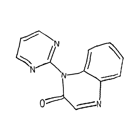 O=c1cnc2ccccc2n1-c1ncccn1